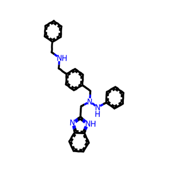 c1ccc(CNCc2ccc(CN(Cc3nc4ccccc4[nH]3)Nc3ccccc3)cc2)cc1